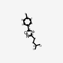 Cc1ccc(-c2nc(CCC(C)C)no2)cc1